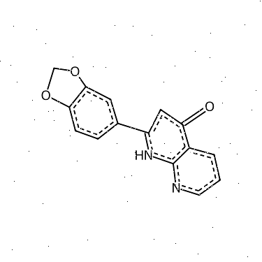 O=c1cc(-c2ccc3c(c2)OCO3)[nH]c2ncccc12